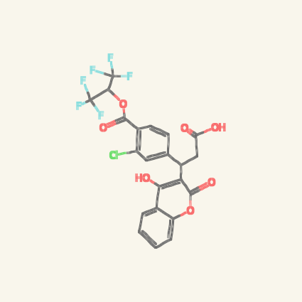 O=C(O)CC(c1ccc(C(=O)OC(C(F)(F)F)C(F)(F)F)c(Cl)c1)c1c(O)c2ccccc2oc1=O